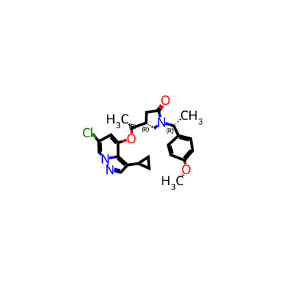 COc1ccc([C@@H](C)N2C[C@H]([C@@H](C)Oc3cc(Cl)cn4ncc(C5CC5)c34)CC2=O)cc1